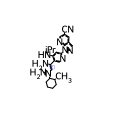 CC(C)Nc1cc(-n2ncc3cc(C#N)cnc32)ncc1/C(N)=C/N(N)C1CCCCC1C